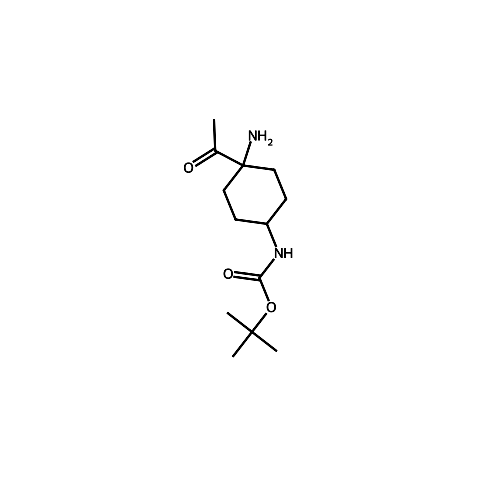 CC(=O)C1(N)CCC(NC(=O)OC(C)(C)C)CC1